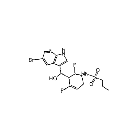 CCCS(=O)(=O)NC1CC=C(F)C(C(O)c2c[nH]c3ncc(Br)cc23)C1F